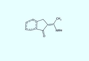 CNC(C)=C1Cc2ccccc2C1=O